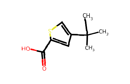 CC(C)(C)c1csc(C(=O)O)c1